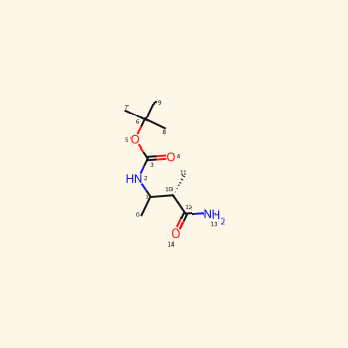 CC(NC(=O)OC(C)(C)C)[C@H](C)C(N)=O